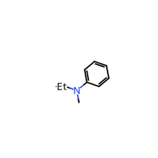 C[CH]N(C)c1ccccc1